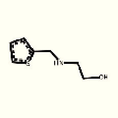 OCCNCc1cccs1